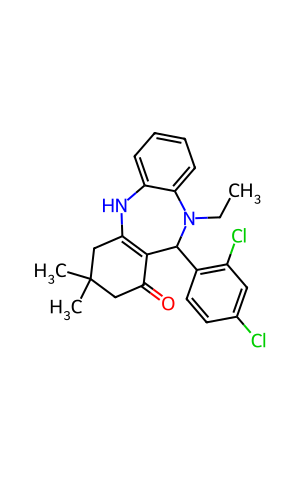 CCN1c2ccccc2NC2=C(C(=O)CC(C)(C)C2)C1c1ccc(Cl)cc1Cl